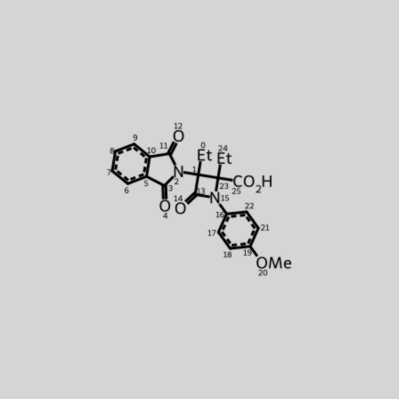 CCC1(N2C(=O)c3ccccc3C2=O)C(=O)N(c2ccc(OC)cc2)C1(CC)C(=O)O